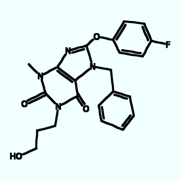 Cn1c(=O)n(CCCO)c(=O)c2c1nc(Oc1ccc(F)cc1)n2Cc1ccccc1